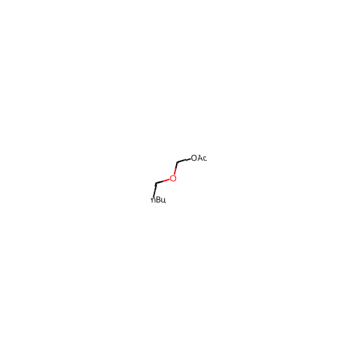 CCCCCOCOC(C)=O